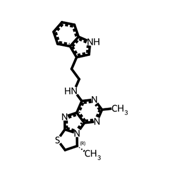 Cc1nc(NCCc2c[nH]c3ccccc23)c2nc3n(c2n1)[C@H](C)CS3